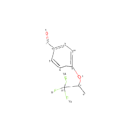 CC(Oc1ccc(C=O)cc1)C(F)(F)F